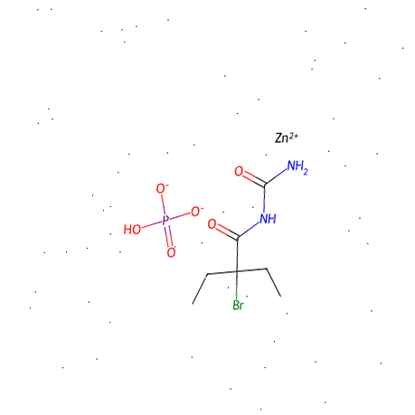 CCC(Br)(CC)C(=O)NC(N)=O.O=P([O-])([O-])O.[Zn+2]